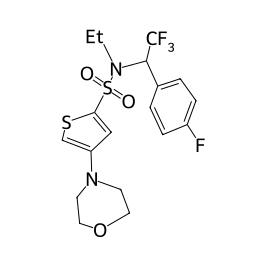 CCN(C(c1ccc(F)cc1)C(F)(F)F)S(=O)(=O)c1cc(N2CCOCC2)cs1